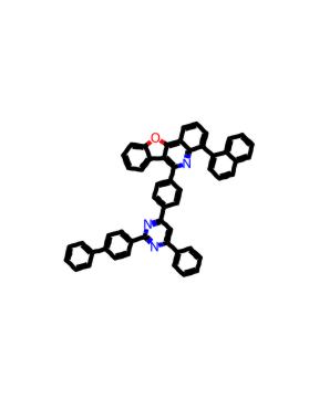 c1ccc(-c2ccc(-c3nc(-c4ccccc4)cc(-c4ccc(-c5nc6c(-c7cccc8ccccc78)cccc6c6oc7ccccc7c56)cc4)n3)cc2)cc1